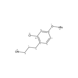 CCCCOc1ccc(CCCN=O)c(Cl)c1